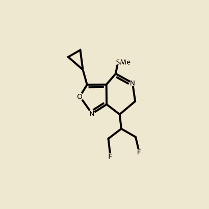 CSC1=NCC(C(CF)CF)c2noc(C3CC3)c21